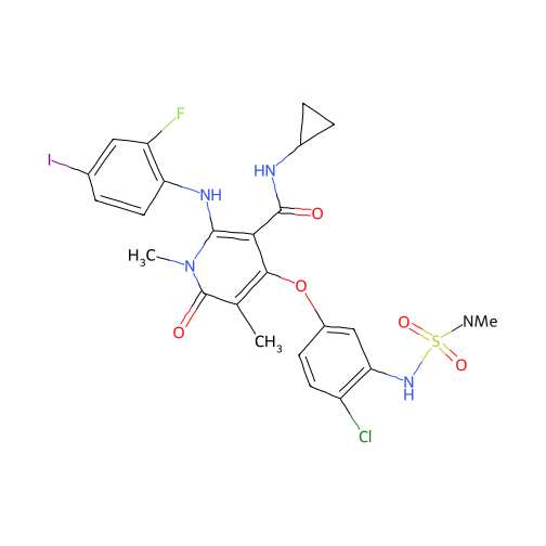 CNS(=O)(=O)Nc1cc(Oc2c(C(=O)NC3CC3)c(Nc3ccc(I)cc3F)n(C)c(=O)c2C)ccc1Cl